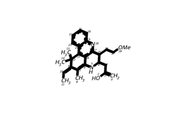 C=C(O)CC1NC2=C(C)/C(=C\C)C(C)(C)c3c2c(nc2ccccc32)C1CCOC